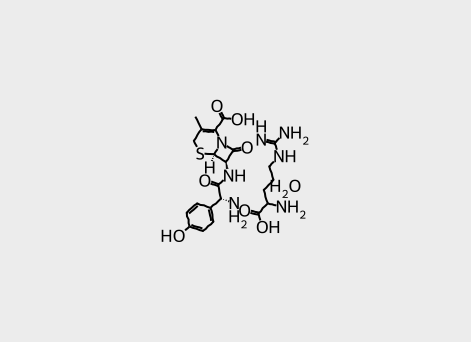 CC1=C(C(=O)O)N2C(=O)[C@@H](NC(=O)[C@H](N)c3ccc(O)cc3)[C@H]2SC1.N=C(N)NCCCC(N)C(=O)O.O